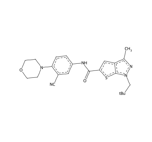 Cc1nn(CC(C)(C)C)c2sc(C(=O)Nc3ccc(N4CCOCC4)c(C#N)c3)cc12